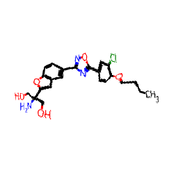 CCCCOc1ccc(-c2nc(-c3ccc4oc(C(N)(CO)CO)cc4c3)no2)cc1Cl